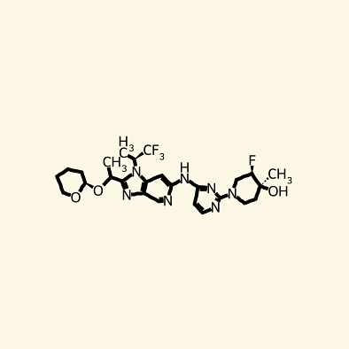 CC(O[C@@H]1CCCCO1)c1nc2cnc(Nc3ccnc(N4CC[C@](C)(O)[C@H](F)C4)n3)cc2n1[C@@H](C)C(F)(F)F